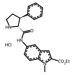 CCOC(=O)c1cc2cc(NC(=O)[C@@H]3NCC[C@H]3c3ccccc3)ccc2n1C.Cl